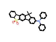 CC1(C)c2cc(N(c3ccccc3)c3ccccc3)ccc2-c2cc3c(cc21)C1C=CC=CC1S3(=O)=O